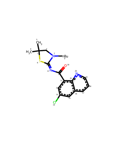 CCCCN1CC(C)(C)SC1=NC(=O)c1cc(Cl)cc2cccnc12